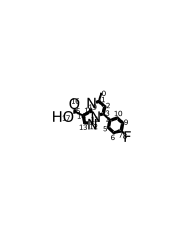 Cc1cc(-c2ccc(F)cc2)n2ncc(C(=O)O)c2n1